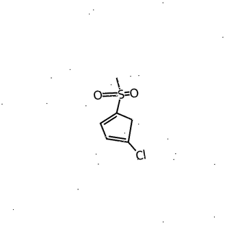 CS(=O)(=O)C1=CC=C(Cl)C1